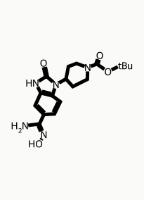 CC(C)(C)OC(=O)N1CCC(n2c(=O)[nH]c3cc(/C(N)=N/O)ccc32)CC1